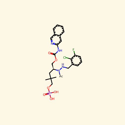 CC(=O)N(NCc1cccc(F)c1Cl)[C@H](COC(=O)Nc1cc2ccccc2cn1)CC(C)(C)COP(=O)(O)O